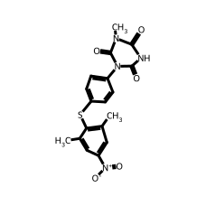 Cc1cc([N+](=O)[O-])cc(C)c1Sc1ccc(-n2c(=O)[nH]c(=O)n(C)c2=O)cc1